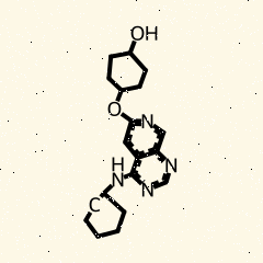 OC1CCC(Oc2cc3c(NC4CCCCC4)ncnc3cn2)CC1